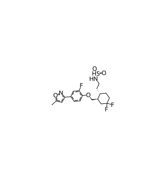 Cc1cc(-c2ccc(OC[C@@H]3CC(F)(F)CC[C@H]3CCN[SH](=O)=O)c(F)c2)no1